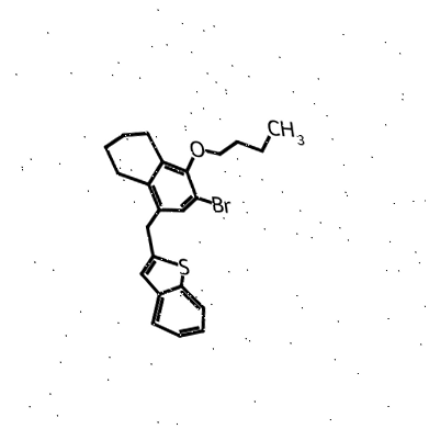 CCCCOc1c(Br)cc(Cc2cc3ccccc3s2)c2c1CCCC2